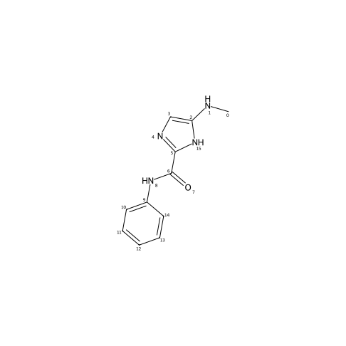 CNc1cnc(C(=O)Nc2ccccc2)[nH]1